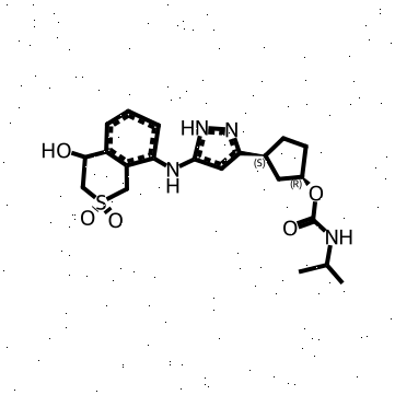 CC(C)NC(=O)O[C@@H]1CC[C@H](c2cc(Nc3cccc4c3CS(=O)(=O)CC4O)[nH]n2)C1